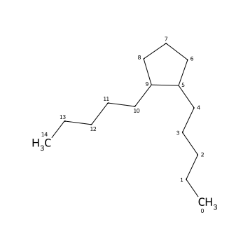 CCCCCC1CCCC1CCCCC